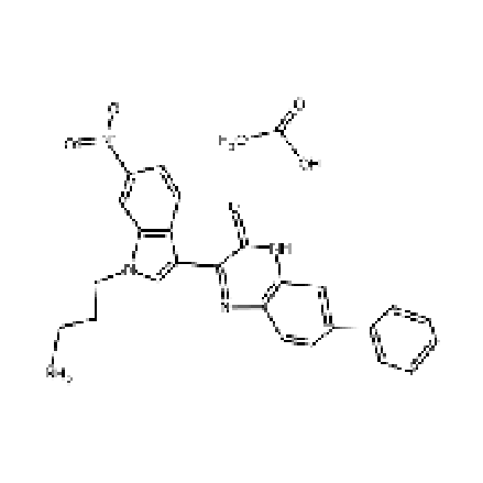 CC(=O)O.NCCCn1cc(-c2nc3ccc(-c4ccccc4)cc3[nH]c2=O)c2ccc([N+](=O)[O-])cc21